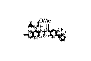 COCCN(c1c(NC(=O)Nc2cnc(-n3nccn3)c(C(F)(F)F)c2)cnc2sc(C)nc12)C1CC1